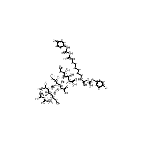 N=C(N)NC(=N)N.N=C(NCCCCCCNC(=N)NC(=N)Nc1ccc(Cl)cc1)NC(=N)Nc1ccc(Cl)cc1.O=C(O)[C@H](O)[C@@H](O)[C@H](O)[C@H](O)CO.O=C(O)[C@H](O)[C@@H](O)[C@H](O)[C@H](O)CO.O=C(OCl)[C@H](O)[C@@H](O)[C@H](O)[C@H](O)CO